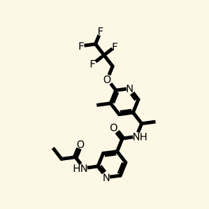 CCC(=O)Nc1cc(C(=O)NC(C)c2cnc(OCC(F)(F)C(F)F)c(C)c2)ccn1